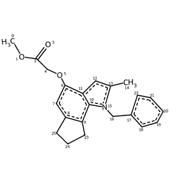 COC(=O)COc1cc2c(c3c1cc(C)n3Cc1ccccc1)CCC2